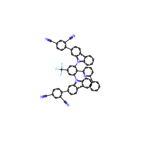 N#Cc1ccc(-c2ccc3c4ccccc4n(-c4cc(C(F)(F)F)cc(-n5c6ccccc6c6ccc(-c7ccc(C#N)cc7C#N)cc65)c4-c4cccc(-c5ccccc5)n4)c3c2)c(C#N)c1